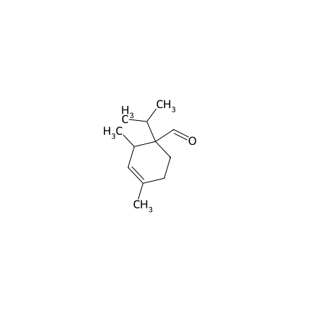 CC1=CC(C)C(C=O)(C(C)C)CC1